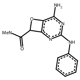 CNC(=O)C1Oc2c(N)nc(Nc3ccccc3)nc21